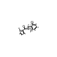 C[C@@H](NC(=O)c1cccn1C)c1c(F)cccc1Cl